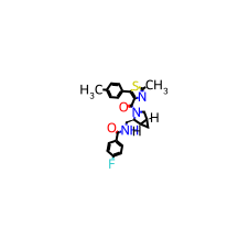 Cc1ccc(-c2sc(C)nc2C(=O)N2C[C@H]3C[C@H]3[C@H]2CNC(=O)c2ccc(F)cc2)cc1